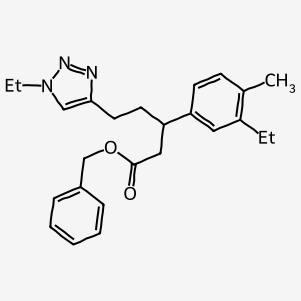 CCc1cc(C(CCc2cn(CC)nn2)CC(=O)OCc2ccccc2)ccc1C